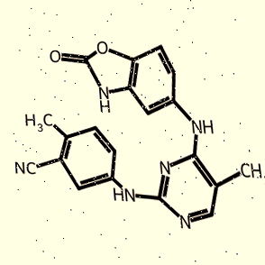 Cc1ccc(Nc2ncc(C)c(Nc3ccc4oc(=O)[nH]c4c3)n2)cc1C#N